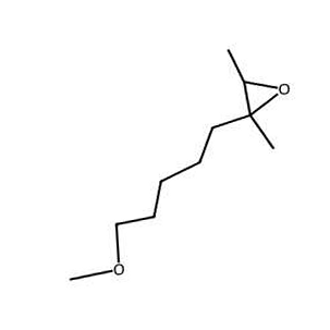 COCCCCCC1(C)OC1C